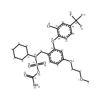 COCCOc1ccc(CN(C2CCCCC2)S(=O)(=O)OC(N)=O)c(Oc2ncc(C(F)(F)F)cc2Cl)c1